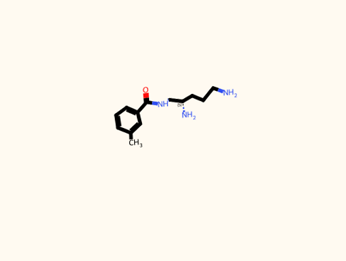 Cc1cccc(C(=O)NC[C@@H](N)CCCN)c1